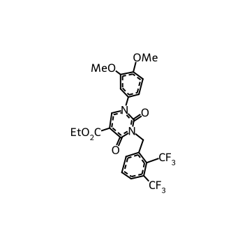 CCOC(=O)c1cn(-c2ccc(OC)c(OC)c2)c(=O)n(Cc2cccc(C(F)(F)F)c2C(F)(F)F)c1=O